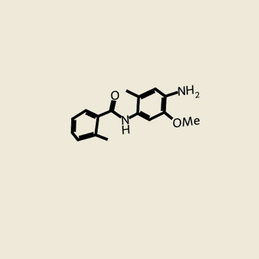 COc1cc(NC(=O)c2ccccc2C)c(C)cc1N